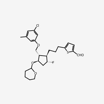 Cc1cc(Cl)cc(OC[C@@H]2[C@@H](CCCc3ccc(C=O)s3)[C@H](F)C[C@H]2OC2CCCCO2)c1